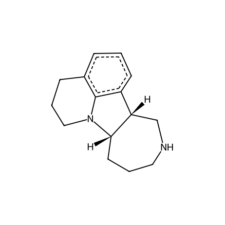 c1cc2c3c(c1)[C@@H]1CNCCC[C@@H]1N3CCC2